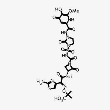 COc1[nH]c(C(=O)NN2CCN(S(=O)(=O)NC(=O)N3C[C@H](NC(=O)C(=NOC(C)(C)C(=O)O)c4csc(N)n4)C3=O)C2=O)cc(=O)c1O